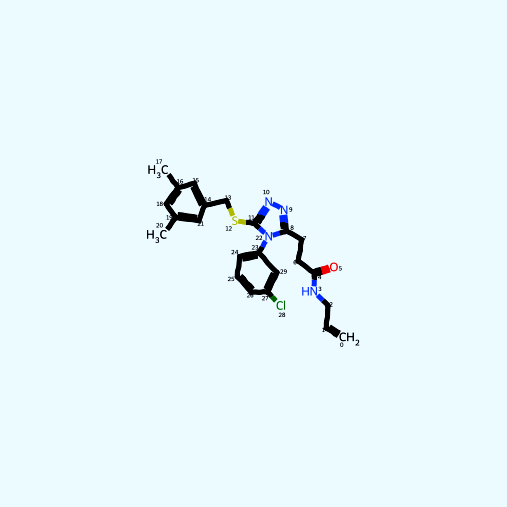 C=CCNC(=O)CCc1nnc(SCc2cc(C)cc(C)c2)n1-c1cccc(Cl)c1